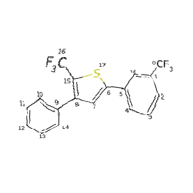 FC(F)(F)c1cccc(-c2cc(-c3ccccc3)c(C(F)(F)F)s2)c1